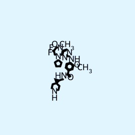 COc1cc(C(=O)NCC2CC23CCNCC3)ccc1Nc1ncc2c(n1)N(C1CCCC1)CC(F)(F)C(=O)N2C